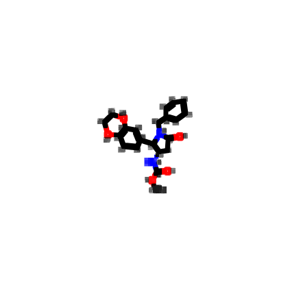 CC(C)(C)OC(=O)N[C@H]1CC(=O)N(Cc2ccccc2)C1c1ccc2c(c1)OCCO2